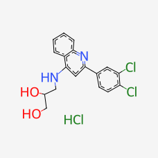 Cl.OCC(O)CNc1cc(-c2ccc(Cl)c(Cl)c2)nc2ccccc12